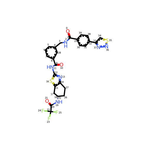 O=C(NCc1cccc(C(=O)Nc2nc3c(s2)C[C@@H](NC(=O)C(F)(F)F)CC3)c1)c1ccc(-c2csnn2)cc1